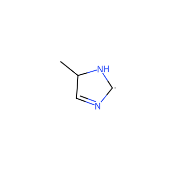 CC1C=N[CH]N1